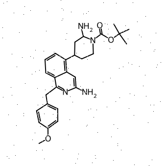 COc1ccc(Cc2nc(N)cc3c(C4CCN(C(=O)OC(C)(C)C)C(N)C4)cccc23)cc1